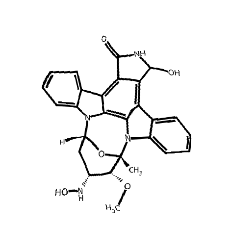 CO[C@@H]1[C@H](NO)C[C@H]2O[C@]1(C)n1c3ccccc3c3c4c(c5c6ccccc6n2c5c31)C(=O)NC4O